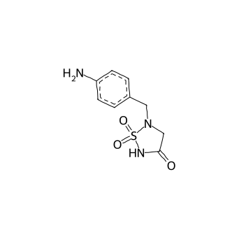 Nc1ccc(CN2CC(=O)NS2(=O)=O)cc1